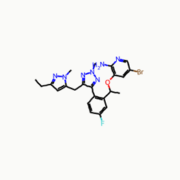 CCc1cc(Cc2nn(C)nc2-c2ccc(F)cc2C(C)Oc2cc(Br)cnc2N)n(C)n1